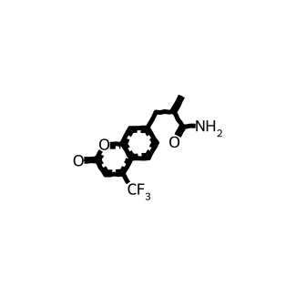 C=C(Cc1ccc2c(C(F)(F)F)cc(=O)oc2c1)C(N)=O